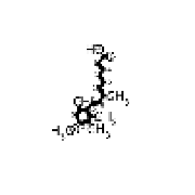 COc1cc(C)c(C=CC(C)=CC=CC=CC(=O)O)c(C)c1C